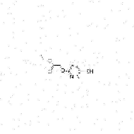 CCOC(=O)COc1ccc(S)nn1